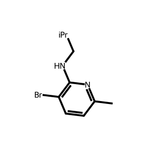 Cc1ccc(Br)c(NCC(C)C)n1